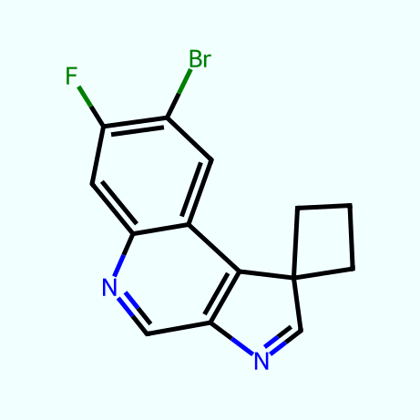 Fc1cc2ncc3c(c2cc1Br)C1(C=N3)CCC1